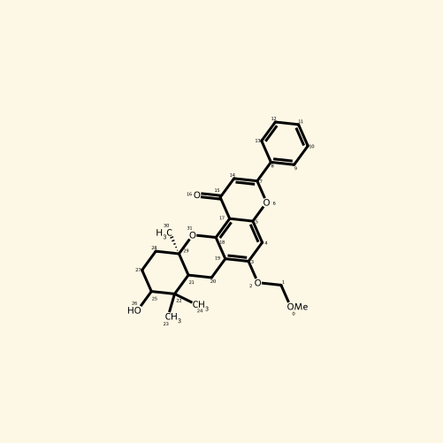 COCOc1cc2oc(-c3ccccc3)cc(=O)c2c2c1CC1C(C)(C)C(O)CC[C@@]1(C)O2